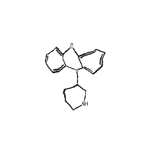 c1ccc2c(c1)Oc1ccccc1N2C1CCCNC1